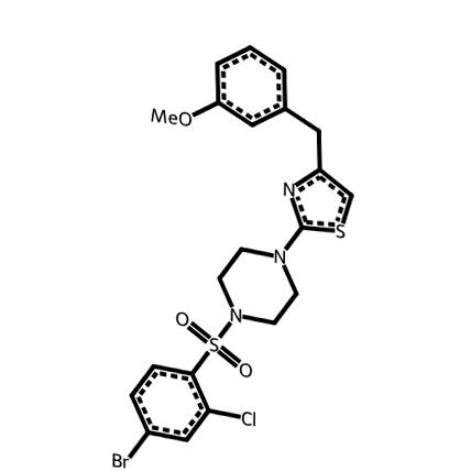 COc1cccc(Cc2csc(N3CCN(S(=O)(=O)c4ccc(Br)cc4Cl)CC3)n2)c1